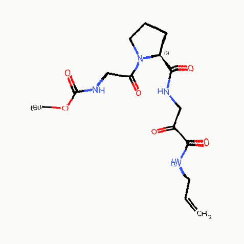 C=CCNC(=O)C(=O)CNC(=O)[C@@H]1CCCN1C(=O)CNC(=O)OC(C)(C)C